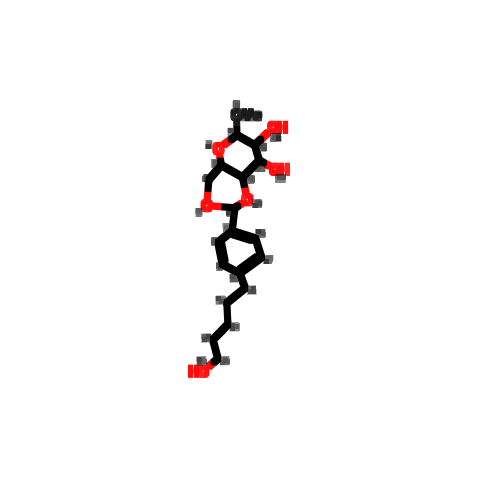 COC1OC2COC(c3ccc(CCCCCO)cc3)OC2C(O)C1O